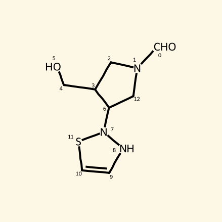 O=CN1CC(CO)C(N2NC=CS2)C1